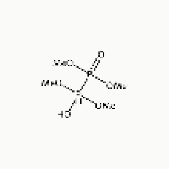 COP(=O)(OC)[PH](O)(OC)OC